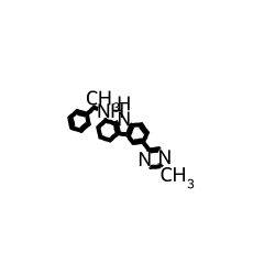 Cc1cnc(-c2ccc3[nH]c4c(c3c2)CCC[C@H]4N[C@H](C)c2ccccc2)cn1